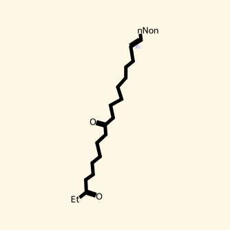 CCCCCCCCC/C=C/CCCCCCCC(=O)CCCCCCC(=O)CC